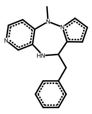 CN1c2ccncc2NC(Cc2ccccc2)c2cccn21